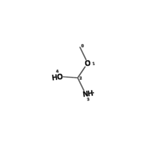 COC([NH])O